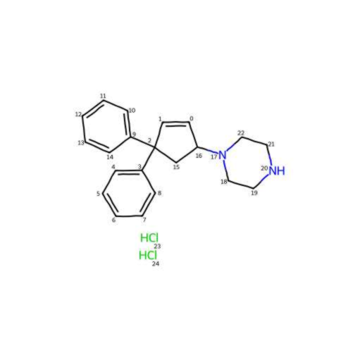 C1=CC(c2ccccc2)(c2ccccc2)CC1N1CCNCC1.Cl.Cl